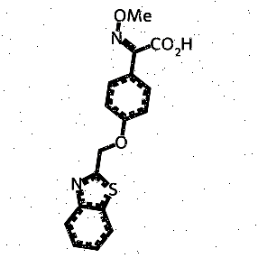 CON=C(C(=O)O)c1ccc(OCc2nc3ccccc3s2)cc1